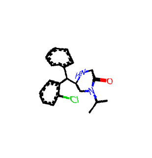 CC(C)N1CC(C(c2ccccc2)c2ccccc2Cl)NCC1=O